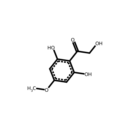 COc1cc(O)c(C(=O)CO)c(O)c1